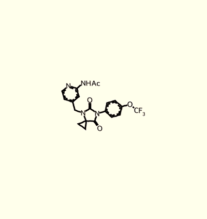 CC(=O)Nc1cc(CN2C(=O)N(c3ccc(OC(F)(F)F)cc3)C(=O)C23CC3)ccn1